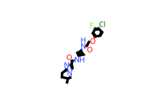 CC1CCc2nc(C(=O)NC34CC(NC(=O)COc5ccc(Cl)c(F)c5)(C3)C4)cn2C1